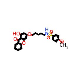 COc1ccc(S(=O)(=O)NCCCCCOc2cc(O)c3c(=O)c4ccccc4oc3c2)cc1